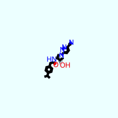 CC(C)c1ccc(CC(=O)N[C@@H]2CN(c3ccc(C#N)nn3)C[C@@H]2CO)cc1